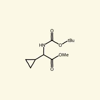 COC(=O)C(NC(=O)OC(C)(C)C)C1CC1